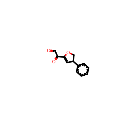 O=CC(=O)C1=CC(c2ccccc2)CO1